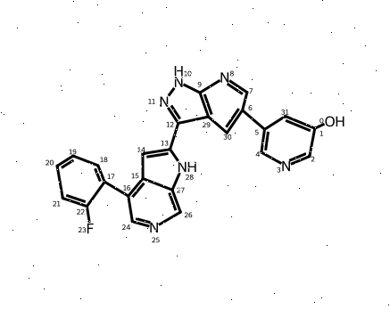 Oc1cncc(-c2cnc3[nH]nc(-c4cc5c(-c6ccccc6F)cncc5[nH]4)c3c2)c1